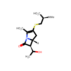 CN[C@@H](CSC1=C(C(=O)O)N2C(=O)[C@H](C(C)O)[C@H]2C1)C(=O)O